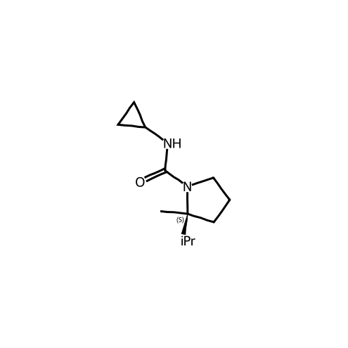 CC(C)[C@]1(C)CCCN1C(=O)NC1CC1